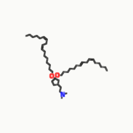 CCCCC/C=C\C/C=C\CCCCCCCOC1(OCCCCCC/C=C/C/C=C\CCCCC)CCC(CCN(C)C)C1